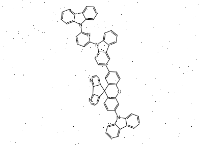 c1cc(-n2c3ccccc3c3ccccc32)nc(-n2c3ccccc3c3cc(-c4ccc5c(c4)C4(c6ccc(-n7c8ccccc8c8ccccc87)cc6O5)c5cccnc5-c5ncccc54)ccc32)c1